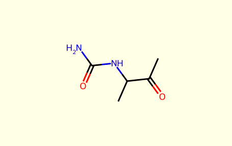 CC(=O)C(C)NC(N)=O